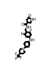 O=C1CC(C(=O)NCc2c(F)cc(Nc3ccc(N4CCC(C(F)(F)F)CC4)cc3)cc2F)CN1